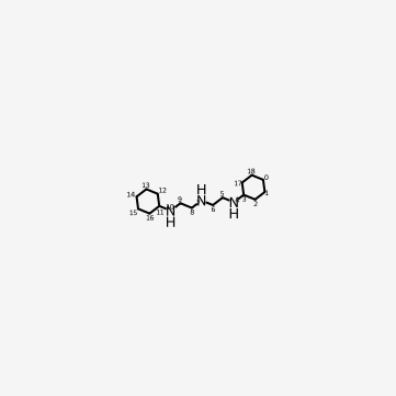 C1CCC(NCCNCCNC2CCCCC2)CC1